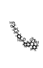 O=C(Nc1ccc(N2CCN(C(=O)CO)CC2)cc1)c1cnn2ccc(C3OCCNC3c3cc(F)ccc3F)nc12